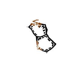 [c]1cc2cs[c]c2s1